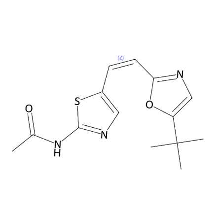 CC(=O)Nc1ncc(/C=C\c2ncc(C(C)(C)C)o2)s1